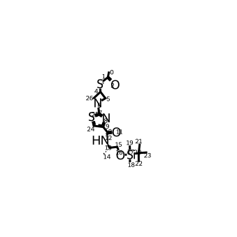 CC(=O)SC1CN(c2nc(C(=O)N[C@@H](C)CO[Si](C)(C)C(C)(C)C)cs2)C1